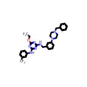 FC(F)(F)COc1nc(NCc2cccc(N3CCN(Cc4ccccc4)CC3)c2)nc(Nc2cccc(C(F)(F)F)c2)n1